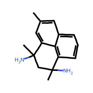 Cc1cc2c3c(cccc3c1)C(C)(N)CC2(C)N